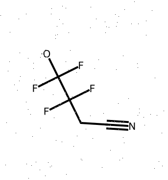 N#CCC(F)(F)C([O])(F)F